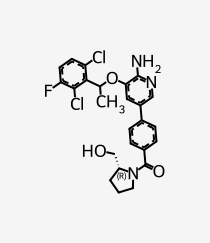 CC(Oc1cc(-c2ccc(C(=O)N3CCC[C@@H]3CO)cc2)cnc1N)c1c(Cl)ccc(F)c1Cl